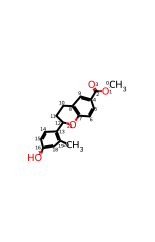 COC(=O)c1ccc2c(c1)CCC(c1ccc(O)cc1C)O2